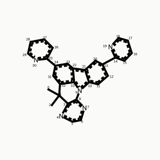 CC1(C)c2nccnc2-n2c3ccc(-c4ccccn4)cc3c3cc(-c4ccccn4)cc1c32